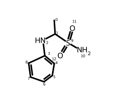 CC(Nc1ccccc1)S(N)(=O)=O